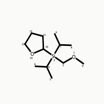 COC[Si](C(C)C)(C(C)C)C1CCCO1